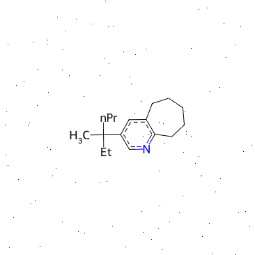 CCCC(C)(CC)c1cnc2c(c1)CCCCC2